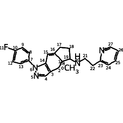 C[C@]12Cc3cnn(-c4ccc(F)cc4)c3C=C1CCC2NCCc1ccccn1